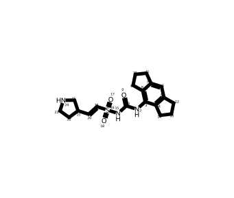 O=C(Nc1c2c(cc3c1CCC3)CCC2)NS(=O)(=O)/C=C/C1CCNC1